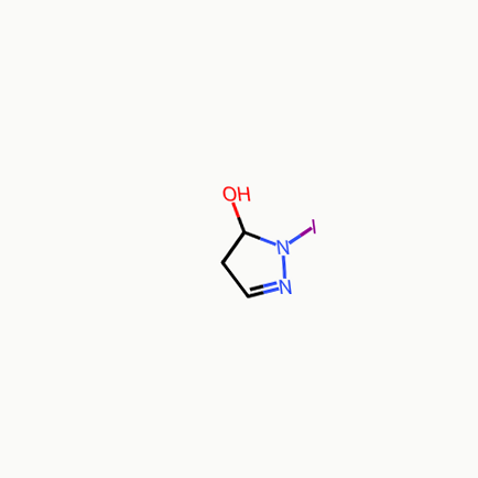 OC1CC=NN1I